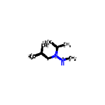 [CH2]NN(CC(C)C)C(C)C